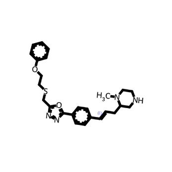 CN1CCNCC1C/C=C/c1ccc(-c2nnc(CSCCOc3ccccc3)o2)cc1